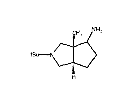 CC(C)(C)N1C[C@H]2CCC(N)[C@@]2(C)C1